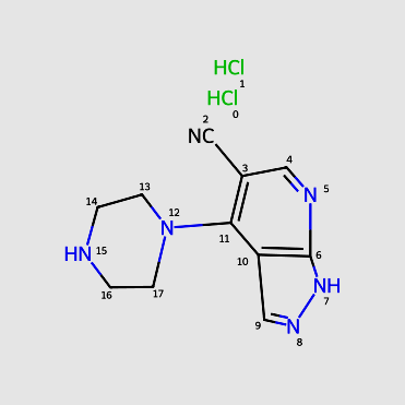 Cl.Cl.N#Cc1cnc2[nH]ncc2c1N1CCNCC1